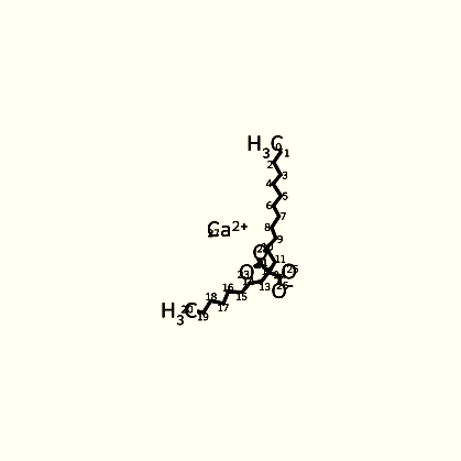 CCCCCCCCCCCCC(CCCCCCCC)(C(=O)[O-])C(=O)[O-].[Ca+2]